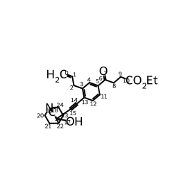 C=CCc1cc(C(=O)CCC(=O)OCC)ccc1C#CC1(O)CN2CCC1CC2